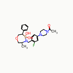 CC(=O)N1CCN(c2ccc(CN3[C@@H](C)COCC(c4ccccc4)S3(O)O)c(F)c2)CC1